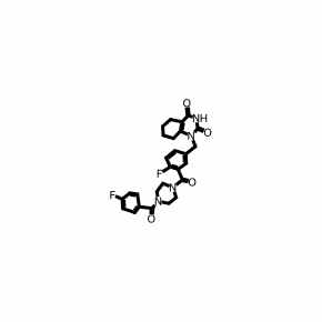 O=C(c1ccc(F)cc1)N1CCN(C(=O)c2cc(Cn3c4c(c(=O)[nH]c3=O)CCCC4)ccc2F)CC1